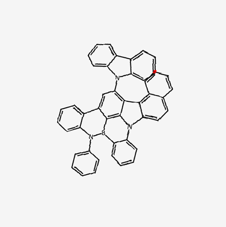 c1ccc(N2B3c4ccccc4-n4c5ccc6ccccc6c5c5c(-n6c7ccccc7c7ccccc76)cc(c3c54)-c3ccccc32)cc1